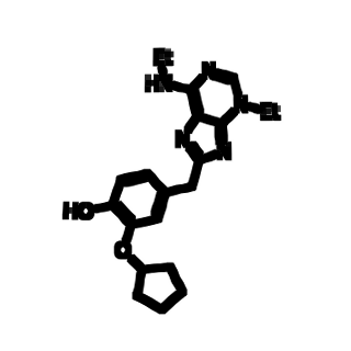 CCNc1ncn(CC)c2nc(Cc3ccc(O)c(OC4CCCC4)c3)nc1-2